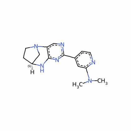 CN(C)c1cc(-c2ncc3c(n2)N[C@H]2CCN3C2)ccn1